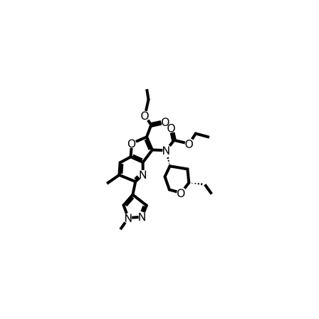 CCOC(=O)c1oc2cc(C)c(-c3cnn(C)c3)nc2c1N(C(=O)OCC)[C@H]1CCO[C@@H](CC)C1